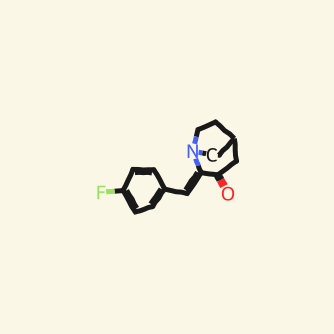 O=C1CC2CCN(CC2)C1=Cc1ccc(F)cc1